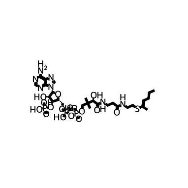 CCCC=C(C)SCCNC(=O)CCNC(=O)[C@H](O)C(C)(C)COP(=O)(O)OP(=O)(O)OC[C@H]1O[C@@H](n2cnc3c(N)ncnc32)[C@H](O)[C@@H]1OP(=O)(O)O